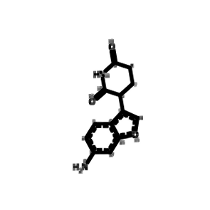 Nc1ccc2c(C3CCC(=O)NC3=O)coc2c1